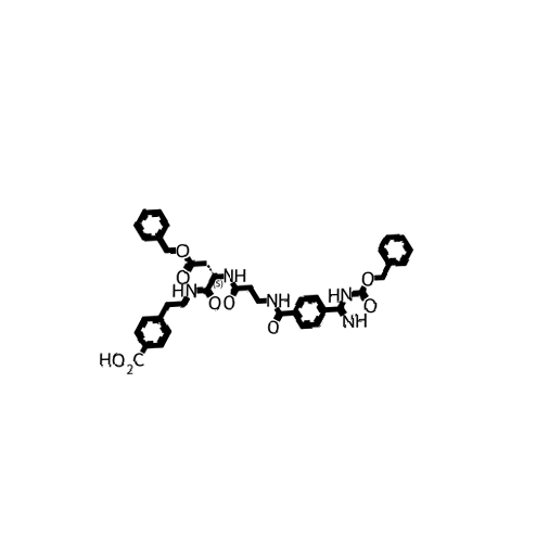 N=C(NC(=O)OCc1ccccc1)c1ccc(C(=O)NCCC(=O)N[C@@H](CC(=O)OCc2ccccc2)C(=O)NCCc2ccc(C(=O)O)cc2)cc1